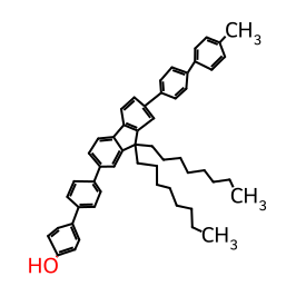 CCCCCCCCC1(CCCCCCCC)c2cc(-c3ccc(-c4ccc(C)cc4)cc3)ccc2-c2ccc(-c3ccc(-c4ccc(O)cc4)cc3)cc21